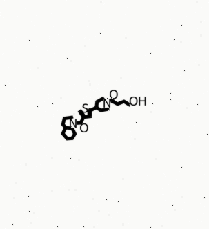 O=C(CCCO)N1CCC(c2cc(C(=O)N3CCCC4CCCCC43)cs2)CC1